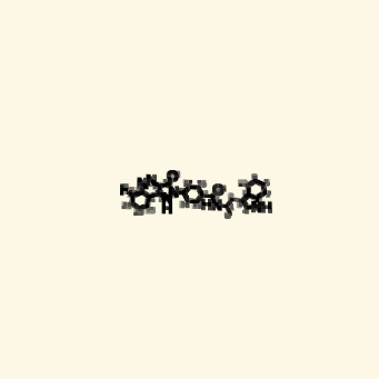 CC(Cc1c[nH]c2ccccc12)NC(=O)c1ccc(-n2[nH]c3c(nnc4c(F)cccc43)c2=O)cc1